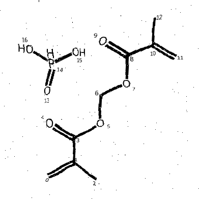 C=C(C)C(=O)OCOC(=O)C(=C)C.O=[PH](O)O